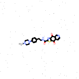 CN1CCN(c2ccc(CCNC(=O)c3nc4c(s3)C(=O)c3ccncc3C4=O)cc2)CC1